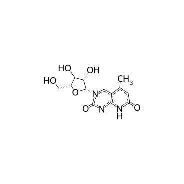 Cc1cc(=O)[nH]c2nc(=O)n([C@@H]3O[C@H](CO)C(O)[C@@H]3O)cc12